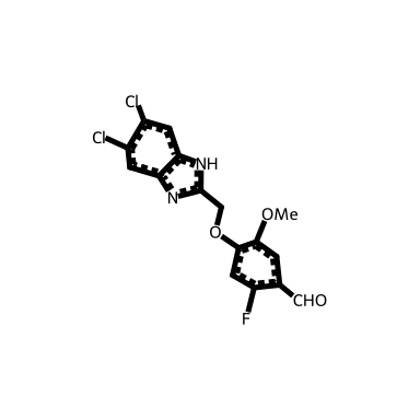 COc1cc(C=O)c(F)cc1OCc1nc2cc(Cl)c(Cl)cc2[nH]1